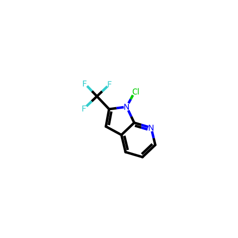 FC(F)(F)c1cc2cccnc2n1Cl